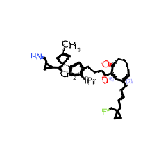 C=C(C1CC1C=N)[C@]1(c2ccc(C(C)C)c(CCCC(=O)/C3=C/C(CCCCCC4(CF)CC4)=C\CCCC3=O)c2)C[C@H](C)C1